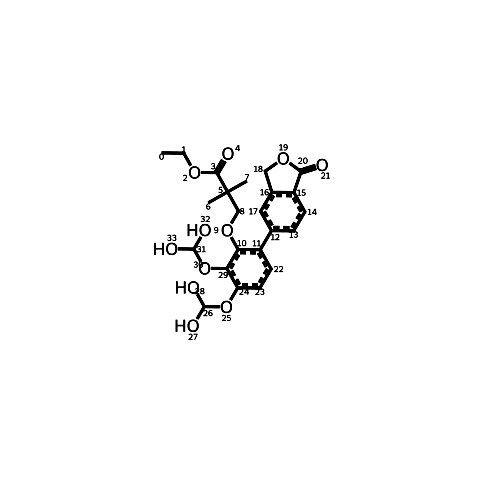 CCOC(=O)C(C)(C)COc1c(-c2ccc3c(c2)COC3=O)ccc(OC(O)O)c1OC(O)O